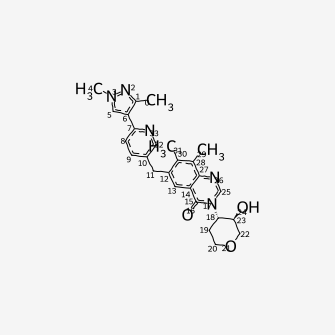 Cc1nn(C)cc1-c1ccc(Cc2cc3c(=O)n([C@H]4CCOC[C@@H]4O)cnc3c(C)c2C)cn1